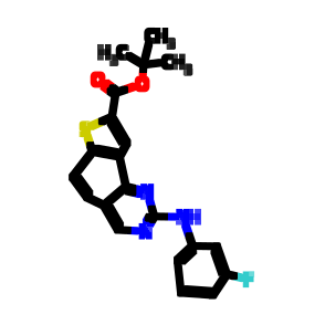 CC(C)(C)OC(=O)c1cc2c(ccc3cnc(Nc4cccc(F)c4)nc32)s1